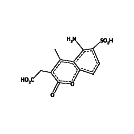 Cc1c(CC(=O)O)c(=O)oc2ccc(S(=O)(=O)O)c(N)c12